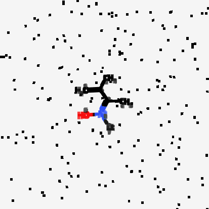 C=C(C)/C(C)=[N+](\O)CC